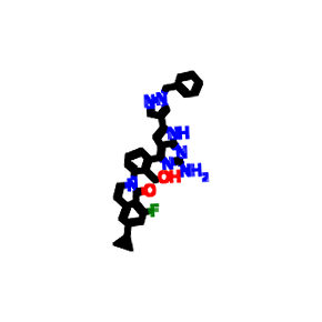 Nc1nc(-c2cccc(-n3ccc4cc(C5CC5)cc(F)c4c3=O)c2CO)c2cc(-c3cnn(Cc4ccccc4)c3)[nH]c2n1